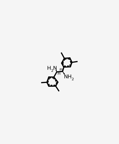 Cc1cc(C)cc([C@@H](N)[C@H](N)c2cc(C)cc(C)c2)c1